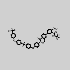 CCC(C)(CC)NC(=O)c1cc(-c2ccc3c(c2)CON(c2ccc(Oc4ccc(C(C)(C)c5ccc(Oc6ccc(C(C)(CC)CC)cc6)cc5)cc4)cc2)C3=O)ccc1C=O